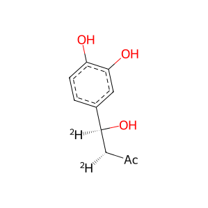 [2H][C@@H](C(C)=O)[C@]([2H])(O)c1ccc(O)c(O)c1